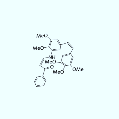 COc1cc(/C=C\c2cc(OC)c(OC)c(OC)c2)cc(N/C=C\C(=O)c2ccccc2)c1OC